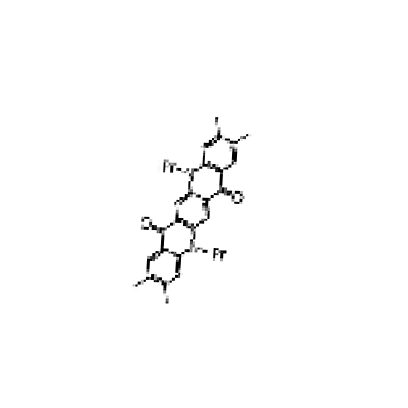 Cc1cc2c(=O)c3cc4c(cc3n(C(C)C)c2cc1C)c(=O)c1cc(C)c(C)cc1n4C(C)C